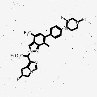 CCOC(=O)C(c1ncn2c1CC(F)C2)n1cc2c(C(F)(F)F)cc(-c3ccc([C@H]4CCN(CC)C[C@@H]4F)cc3)c(C)c2n1